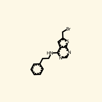 BrCc1cc2c(NCCc3ccccc3)ncnc2s1